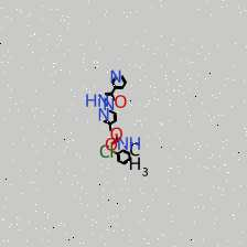 Cc1cccc(Cl)c1NC(=O)OCc1ccc(-n2[nH]cc(-c3cccnc3)c2=O)nc1